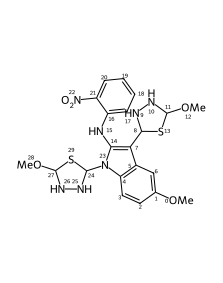 COc1ccc2c(c1)c(C1NNC(OC)S1)c(Nc1ccccc1[N+](=O)[O-])n2C1NNC(OC)S1